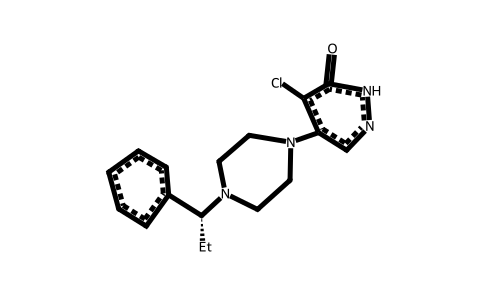 CC[C@H](c1ccccc1)N1CCN(c2cn[nH]c(=O)c2Cl)CC1